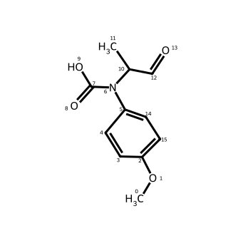 COc1ccc(N(C(=O)O)C(C)C=O)cc1